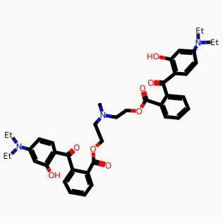 CCN(CC)c1ccc(C(=O)c2ccccc2C(=O)OCCN(C)CCOC(=O)c2ccccc2C(=O)c2ccc(N(CC)CC)cc2O)c(O)c1